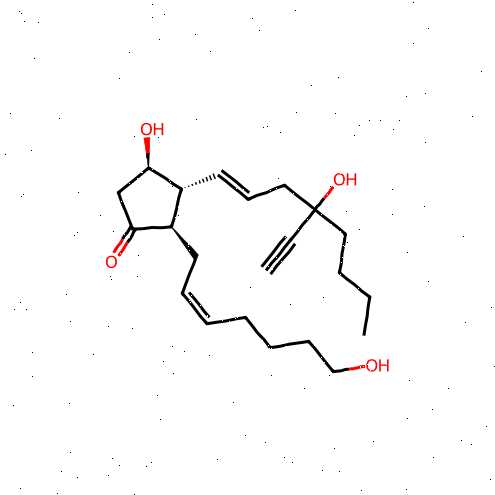 C#CC(O)(C/C=C/[C@H]1[C@H](O)CC(=O)[C@@H]1C/C=C\CCCCO)CCCC